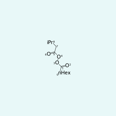 CCCCCCC(=O)OOC(=O)CC(C)C